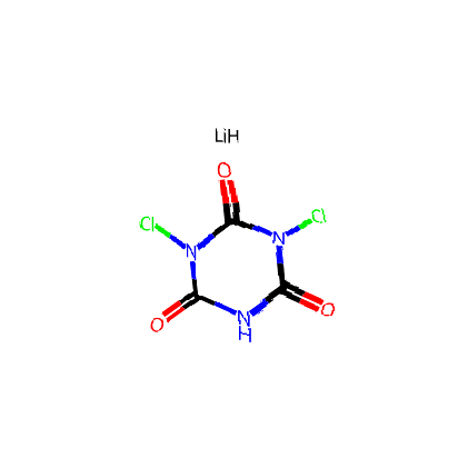 O=c1[nH]c(=O)n(Cl)c(=O)n1Cl.[LiH]